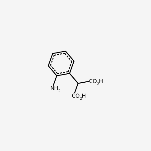 Nc1ccccc1C(C(=O)O)C(=O)O